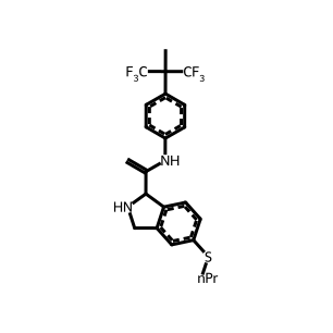 C=C(Nc1ccc(C(C)(C(F)(F)F)C(F)(F)F)cc1)C1NCc2cc(SCCC)ccc21